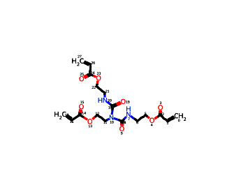 C=CC(=O)OCCNC(=O)N(CCOC(=O)C=C)C(=O)NCCOC(=O)C=C